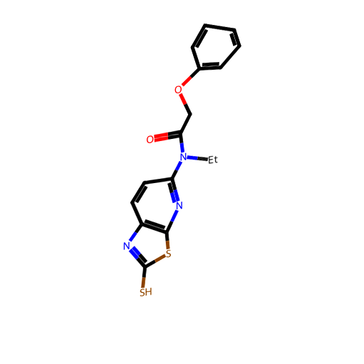 CCN(C(=O)COc1ccccc1)c1ccc2nc(S)sc2n1